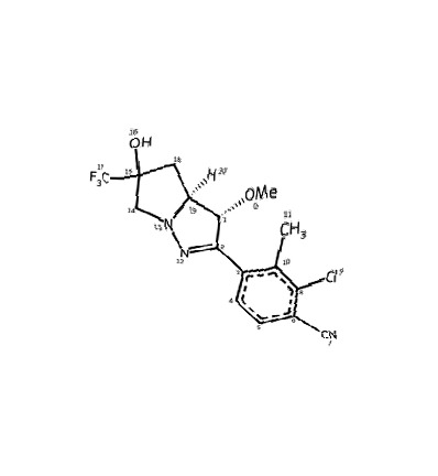 CO[C@@H]1C(c2ccc(C#N)c(Cl)c2C)=NN2CC(O)(C(F)(F)F)C[C@@H]12